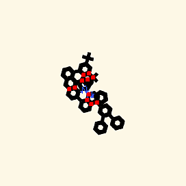 CC(C)(C)c1cc(-c2cccc3cccc(-c4ccccc4N(c4ccc(-c5ccc(-c6ccccc6)c(-c6ccccc6)c5)cc4)c4ccccc4-c4cccc5c6ccccc6n(-c6ccccc6)c45)c23)cc(C(C)(C)C)c1